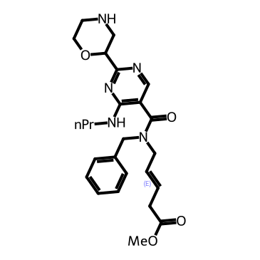 CCCNc1nc(C2CNCCO2)ncc1C(=O)N(C/C=C/CC(=O)OC)Cc1ccccc1